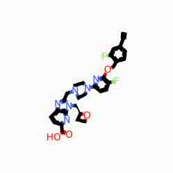 C#Cc1ccc(COc2nc(N3CCN(Cc4nc5ccc(C(=O)O)nc5n4C[C@@H]4CCO4)CC3)ccc2F)c(F)c1